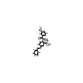 COC(=O)c1cc(C=Cc2ccccc2)ccc1NC(=O)c1cccc(OC)c1